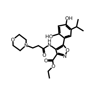 CCOC(=O)c1noc(-c2cc(C(C)C)c(O)cc2O)c1NC(=O)CCN1CCOCC1